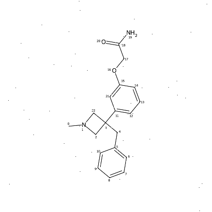 CN1CC(Cc2ccccc2)(c2cccc(OCC(N)=O)c2)C1